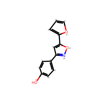 Oc1ccc(-c2cc(-c3ccco3)on2)cc1